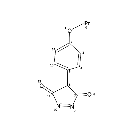 CC(C)Oc1ccc(C2C(=O)N=NC2=O)cc1